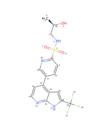 C[C@@H](O)CNS(=O)(=O)c1ccc(-c2ccnc3[nH]c(C(F)(F)F)cc23)cn1